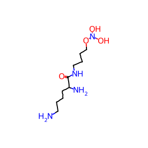 NCCCCC(N)C(=O)NCCCCON(O)O